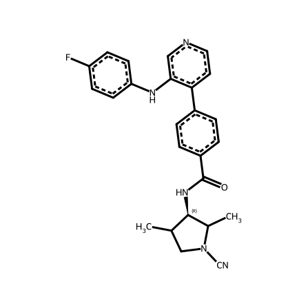 CC1CN(C#N)C(C)[C@@H]1NC(=O)c1ccc(-c2ccncc2Nc2ccc(F)cc2)cc1